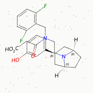 O=C(O)CC(=O)N(CCN1[C@@H]2CC[C@H]1C[C@@H](c1cccc(O)c1)C2)Cc1c(F)cccc1F